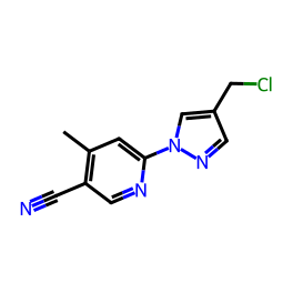 Cc1cc(-n2cc(CCl)cn2)ncc1C#N